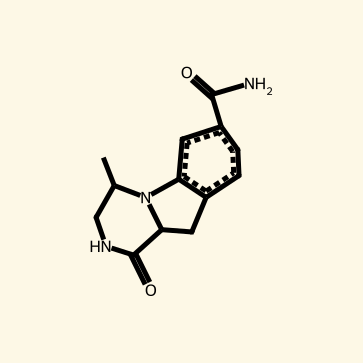 CC1CNC(=O)C2Cc3ccc(C(N)=O)cc3N12